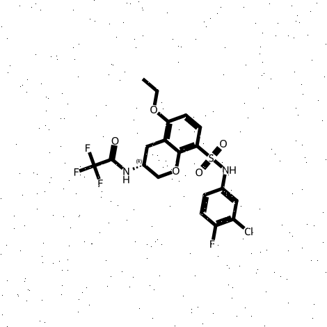 CCOc1ccc(S(=O)(=O)Nc2ccc(F)c(Cl)c2)c2c1C[C@@H](NC(=O)C(F)(F)F)CO2